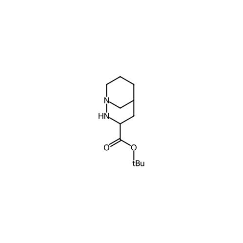 CC(C)(C)OC(=O)C1CC2CCCN(C2)N1